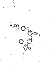 COC(=O)c1ccc(Oc2ccc(CN3CCC(N4C(=O)OCC4c4ccccc4)CC3)c(C)n2)cc1